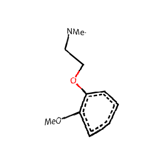 C[N]CCOc1ccccc1OC